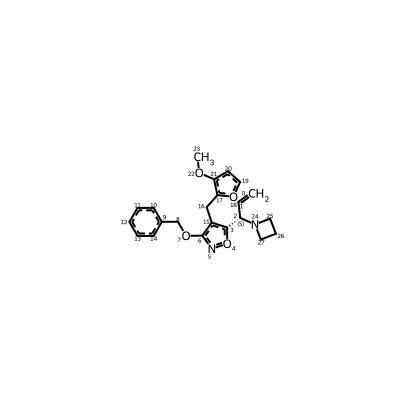 C=C[C@@H](c1onc(OCc2ccccc2)c1Cc1occc1OC)N1CCC1